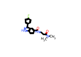 CN(C)C(=O)CCNC(=O)c1ccc2[nH]nc(-c3ccc(F)cc3)c2c1